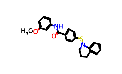 COc1cccc(NC(=O)c2ccc(SN3CCCc4ccccc43)cc2)c1